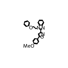 COc1ccc(-c2cc(-c3nc4ccccc4n3CCOc3ccccc3)no2)cc1